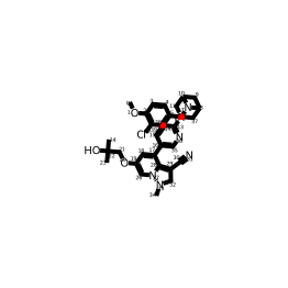 COc1ccc(CN2C3CC2CN(c2ccc(C4=CC(OCC(C)(C)O)=CN5C4=C(C#N)CN5C)cn2)C3)cc1Cl